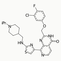 CC(C)N1CCC(CNc2nc(-c3nccc4c(=O)[nH]c(COc5ccc(F)c(Cl)c5)nc34)cs2)CC1